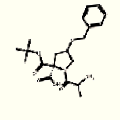 C[C@H](N)C(=O)N1CC(OCc2ccccc2)C[C@]1(C(=O)O)C(=O)OC(C)(C)C